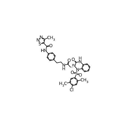 Cc1cc(S(=O)(=O)N2c3ccccc3NC(=O)[C@H]2CC(=O)NCCc2ccc(NC(=O)c3snnc3C)cc2)c(C)cc1Cl